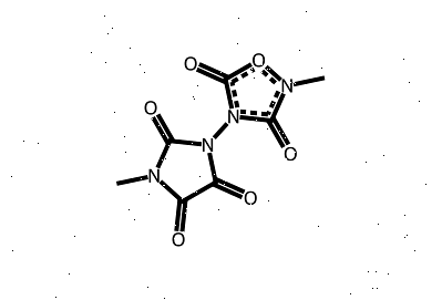 CN1C(=O)C(=O)N(n2c(=O)on(C)c2=O)C1=O